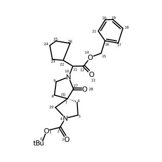 CC(C)(C)OC(=O)N1CC[C@@]2(CCN(C(C(=O)OCc3ccccc3)C3CCCC3)C2=O)C1